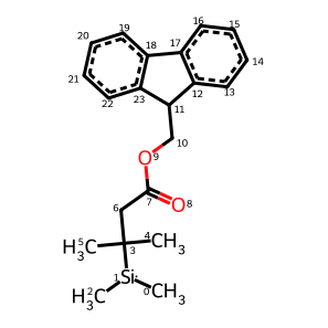 C[Si](C)C(C)(C)CC(=O)OCC1c2ccccc2-c2ccccc21